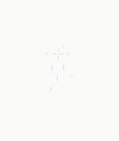 C/C=C(\C)c1ncc([Si](C)(C)C)cc1C(C)C